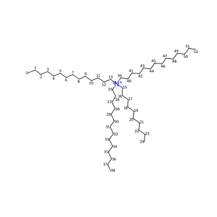 CCCCCCCCCCCCCC[N+](CCCCCCCCCC)(CCCCCCCCCCCCCC)CCCCCCCCCCCCCC